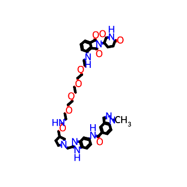 Cn1ncc2cc(C(=O)Nc3ccc4[nH]c(CN5CCC(CONCCOCCOCCOCCOCCNc6cccc7c6C(=O)N(C6CCC(=O)NC6=O)C7=O)C5)nc4c3)ccc21